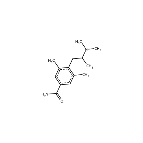 Cc1cc(C(N)=O)cc(C)c1CC(C)N(C)C